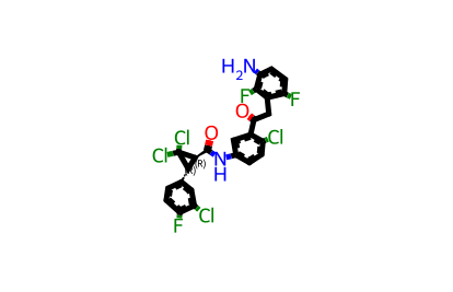 Nc1ccc(F)c(CC(=O)c2cc(NC(=O)[C@H]3[C@H](c4ccc(F)c(Cl)c4)C3(Cl)Cl)ccc2Cl)c1F